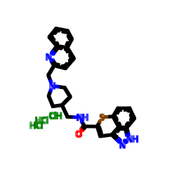 Cl.Cl.Cl.O=C(NCC1CCN(Cc2ccc3ccccc3n2)CC1)C1=Cc2n[nH]c3cccc(c23)S1